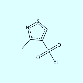 CCS(=O)(=O)c1csnc1C